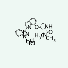 CN(C)C(=O)[C@@H]1C[C@@H](Oc2cccc3ccc(-c4nnc5ccccn45)nc23)CCN1.Cl.Cl